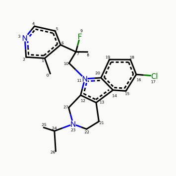 Cc1cnccc1C(C)(F)Cn1c2c(c3cc(Cl)ccc31)CCN(C(C)C)C2